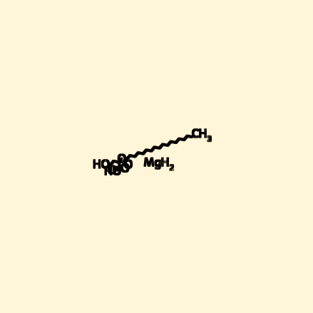 CCCCCCCCCCCCCCCCCC(=O)OC(CC(=O)O)C(=O)O.[MgH2]